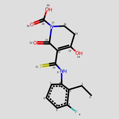 CCc1c(F)cccc1NC(=S)C1=C(O)CCN(C(=O)O)C1=O